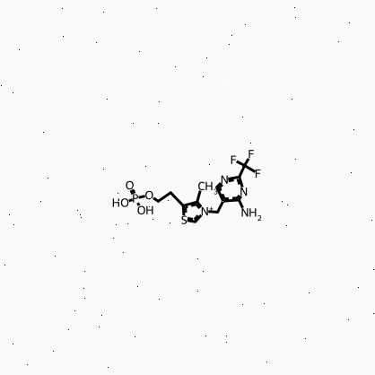 Cc1c(CCOP(=O)(O)O)sc[n+]1Cc1cnc(C(F)(F)F)nc1N